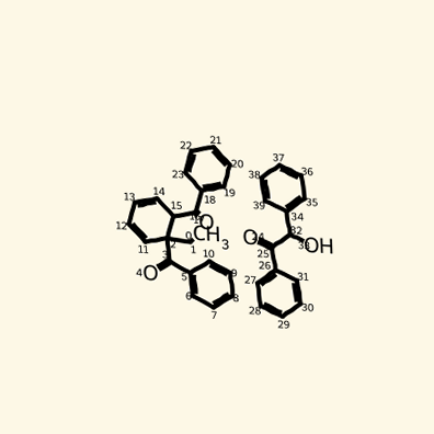 CCC1(C(=O)c2ccccc2)C=CC=CC1C(=O)c1ccccc1.O=C(c1ccccc1)C(O)c1ccccc1